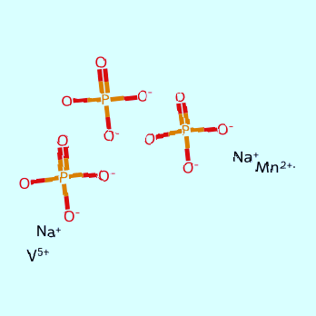 O=P([O-])([O-])[O-].O=P([O-])([O-])[O-].O=P([O-])([O-])[O-].[Mn+2].[Na+].[Na+].[V+5]